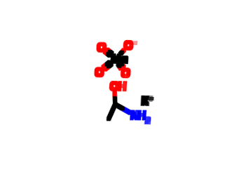 CC(N)O.[K+].[O]=[Mn](=[O])(=[O])[O-]